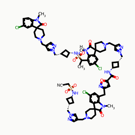 CC(c1cc(Cl)cc2c1N(C)C(=O)C21CCN(Cc2cnn(C[C@H]3C[C@@H](NC(=O)c4cc(Cc5cc(Cl)cc6c5N(C)C(=O)C65CCN(Cc6cnn(C[C@H]7C[C@@H](NS(=O)(=O)CC#N)C7)c6)CC5)no4)C3)c2)CC1)S(=O)(=O)N[C@H]1C[C@@H](Cn2cc(CN3CCC4(CC3)C(=O)N(C)c3ccc(Cl)cc34)cn2)C1